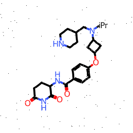 CC(C)N(CC1CCNCC1)C1CC(Oc2ccc(C(=O)NC3CCC(=O)NC3=O)cc2)C1